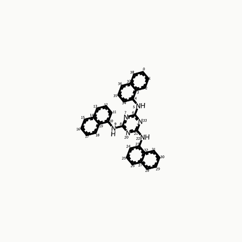 c1ccc2c(Nc3nc(Nc4cccc5ccccc45)nc(Nc4cccc5ccccc45)n3)cccc2c1